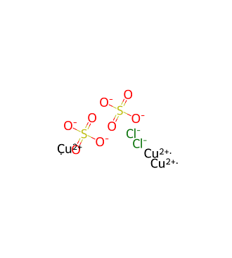 O=S(=O)([O-])[O-].O=S(=O)([O-])[O-].[Cl-].[Cl-].[Cu+2].[Cu+2].[Cu+2]